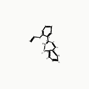 C=CCc1ccccc1C1=NSc2ccccc2C=C1